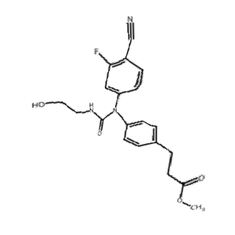 COC(=O)CCc1ccc(N(C(=O)NCCO)c2ccc(C#N)c(F)c2)cc1